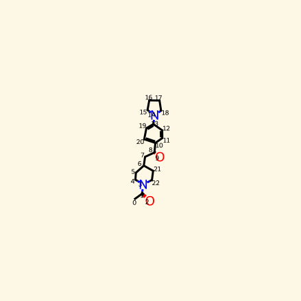 CC(=O)N1CCC(CC(=O)c2ccc(N3CCCC3)cc2)CC1